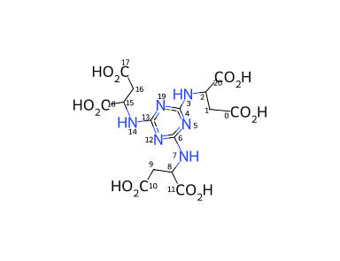 O=C(O)CC(Nc1nc(NC(CC(=O)O)C(=O)O)nc(NC(CC(=O)O)C(=O)O)n1)C(=O)O